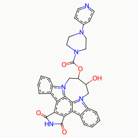 O=C1NC(=O)c2c1c1c3ccccc3n3c1c1c2c2ccccc2n1CC(OC(=O)N1CCN(c2ccncc2)CC1)C(O)C3